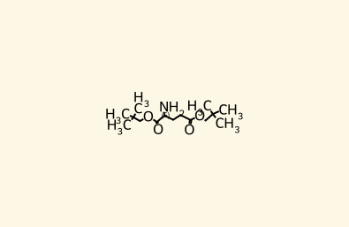 CC(C)(C)COC(=O)CC[C@H](N)C(=O)OCC(C)(C)C